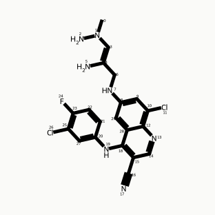 CN(N)/C=C(\N)CNc1cc(Cl)c2ncc(C#N)c(Nc3ccc(F)c(Cl)c3)c2c1